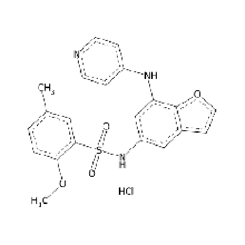 COc1ccc(C)cc1S(=O)(=O)Nc1cc(Nc2ccncc2)c2occc2c1.Cl